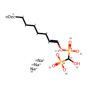 CCCCCCCCCCCCCCCC=COP(=O)([O-])C(O)P(=O)([O-])[O-].[Na+].[Na+].[Na+]